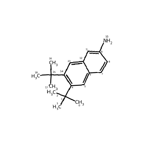 CC(C)(C)c1cc2ccc(N)cc2cc1C(C)(C)C